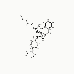 CCCCCOC(=O)NC1(C(=O)Nc2ccc(N(CC)CC)cc2)CCc2ccccc2C1